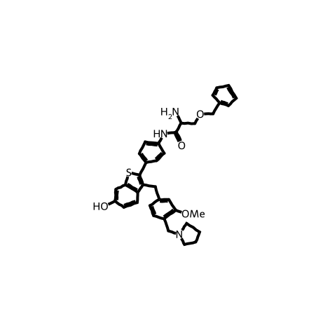 COc1cc(Cc2c(-c3ccc(NC(=O)C(N)COCc4ccccc4)cc3)sc3cc(O)ccc23)ccc1CN1CCCC1